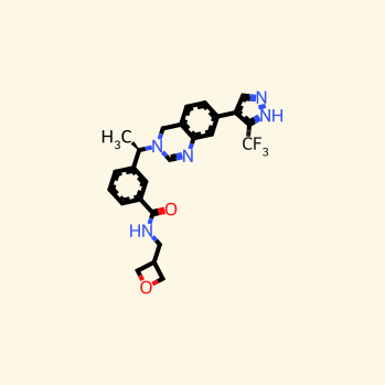 C[C@H](c1cccc(C(=O)NCC2COC2)c1)N1C=Nc2cc(-c3cn[nH]c3C(F)(F)F)ccc2C1